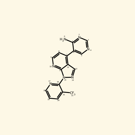 Nc1ncncc1-c1ccnc2c1cnn2-c1ncccc1C(F)(F)F